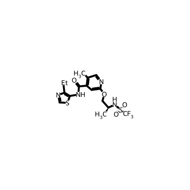 CCc1ncsc1NC(=O)c1cc(OC[C@H](C)NS(=O)(=O)C(F)(F)F)ncc1C